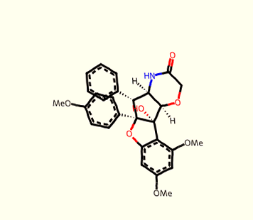 COc1ccc([C@@]23Oc4cc(OC)cc(OC)c4[C@]2(O)[C@@H]2OCC(=O)N[C@@H]2[C@H]3c2ccccc2)cc1